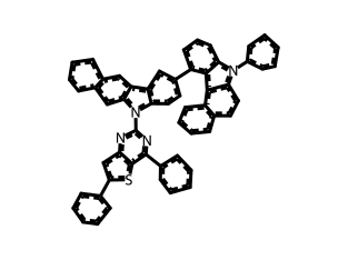 c1ccc(-c2cc3nc(-n4c5ccc(-c6cccc7c6c6c8ccccc8ccc6n7-c6ccccc6)cc5c5cc6ccccc6cc54)nc(-c4ccccc4)c3s2)cc1